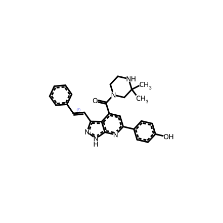 CC1(C)CN(C(=O)c2cc(-c3ccc(O)cc3)nc3[nH]nc(/C=C/c4ccccc4)c23)CCN1